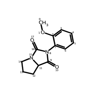 COc1ccccc1N1C(=O)C2CCCN2C1=O